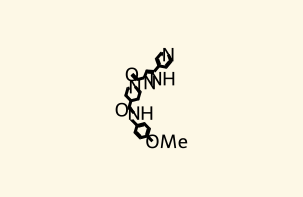 COc1ccc(CNC(=O)C2CCN(C(=O)c3cc(-c4ccncc4)[nH]n3)CC2)cc1